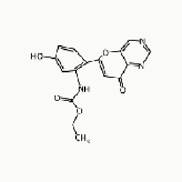 CCOC(=O)Nc1cc(O)ccc1-c1cc(=O)c2ncncc2o1